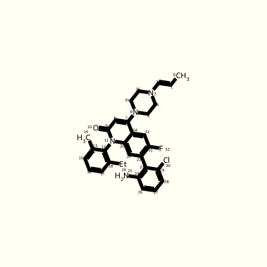 CC=CN1CCN(c2cc(=O)n(-c3c(C)cccc3CC)c3cc(-c4c(N)cccc4Cl)c(F)cc23)CC1